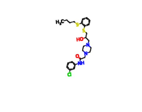 CCCCSc1ccccc1SCC(O)CN1CCN(CC(=O)Nc2cccc(Cl)c2)CC1